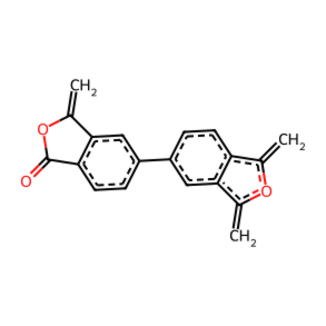 C=C1OC(=O)c2ccc(-c3ccc4c(=C)oc(=C)c4c3)cc21